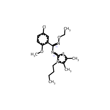 CCCCn1c(C)c(C)s/c1=N\C(=N\OCC)c1cc(Cl)ccc1OC